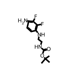 CC(C)(C)OC(=O)NCCNc1ccc(N)c(F)c1F